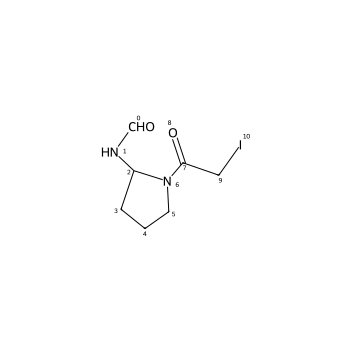 O=CNC1CCCN1C(=O)CI